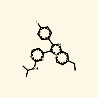 CCc1ccn2c(-c3ccnc(NC(C)C)n3)c(-c3ccc(F)cc3)nc2c1